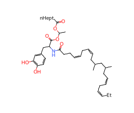 CC/C=C\C/C=C\CC(C)CC(C)C/C=C\C/C=C\CCC(=O)NC(Cc1ccc(O)c(O)c1)C(=O)OC(C)OC(=O)CCCCCCC